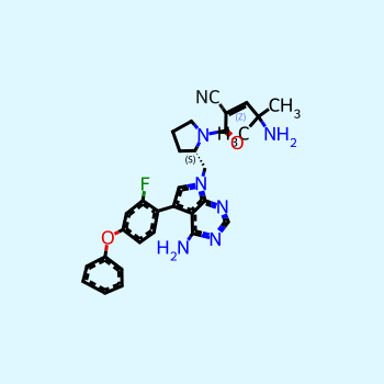 CC(C)(N)/C=C(/C#N)C(=O)N1CCC[C@H]1Cn1cc(-c2ccc(Oc3ccccc3)cc2F)c2c(N)ncnc21